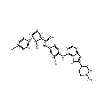 CC(C)(C)N1CCC(c2cc3nccc(Oc4ccc(NC(=O)c5nccn(-c6ccc(F)cc6)c5=O)cc4F)c3s2)CC1